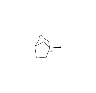 C[C@@]12CCC(C1)OC2